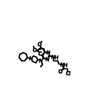 CCN(c1nc(NCCCNC(=O)CCl)nc2cc(OC)c(OC)cc12)C1CCN(C2CCCCCC2)CC1